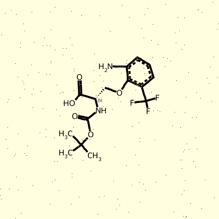 CC(C)(C)OC(=O)N[C@@H](COc1c(N)cccc1C(F)(F)F)C(=O)O